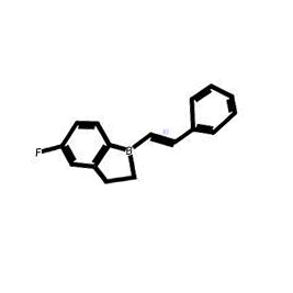 Fc1ccc2c(c1)CCB2/C=C/c1ccccc1